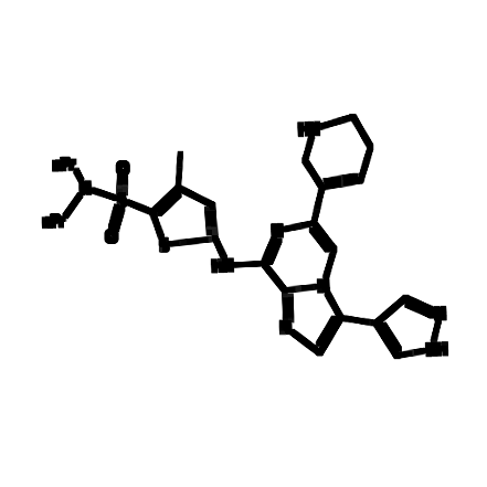 CCCN(CCC)S(=O)(=O)c1sc(Nc2nc(C3=CCCNC3)cn3c(-c4cn[nH]c4)cnc23)cc1C